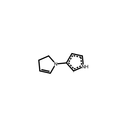 [c]1[nH]ccc1N1C=CCC1